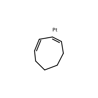 C1=C\CCCC\C=C/1.[Pt]